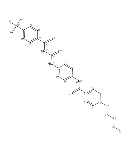 CCCCCc1ccc(C(=O)Nc2ccc(NC(=S)NC(=O)c3ccc(C(C)(C)C)cc3)cc2)cc1